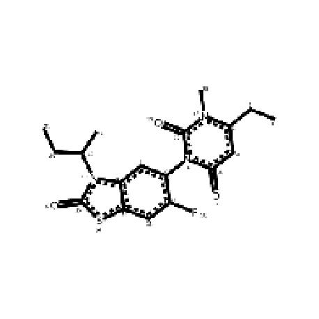 CCc1cc(=O)n(-c2cc3c(cc2F)sc(=O)n3C(C)CC)c(=O)n1C